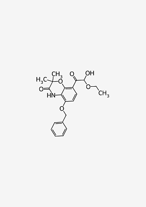 CCOC(O)C(=O)c1ccc(OCc2ccccc2)c2c1OC(C)(C)C(=O)N2